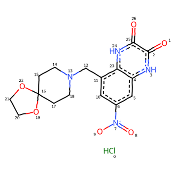 Cl.O=c1[nH]c2cc([N+](=O)[O-])cc(CN3CCC4(CC3)OCCO4)c2[nH]c1=O